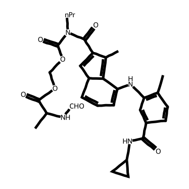 CCCN(C(=O)OCOC(=O)C(C)NC=O)C(=O)C1=CC2C=CC=C(Nc3cc(C(=O)NC4CC4)ccc3C)C2=C1C